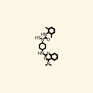 Cc1cccc(C)c1NC(=O)N(S)C1CCC(Nc2nc(N(C)C)c3ccccc3n2)CC1